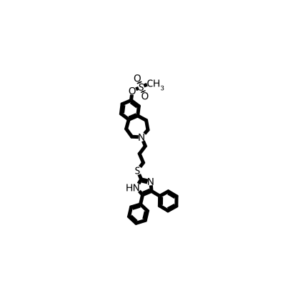 CS(=O)(=O)Oc1ccc2c(c1)CCN(CCCSc1nc(-c3ccccc3)c(-c3ccccc3)[nH]1)CC2